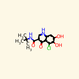 CC(C)(C)NC(=O)c1c[nH]c2cc(O)c(O)c(Cl)c2c1=O